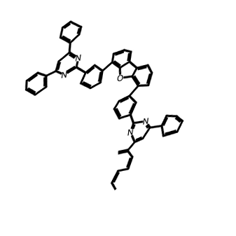 C=C(/C=C\C=C/C)c1cc(-c2ccccc2)nc(-c2cccc(-c3cccc4c3oc3c(-c5cccc(-c6nc(-c7ccccc7)cc(-c7ccccc7)n6)c5)cccc34)c2)n1